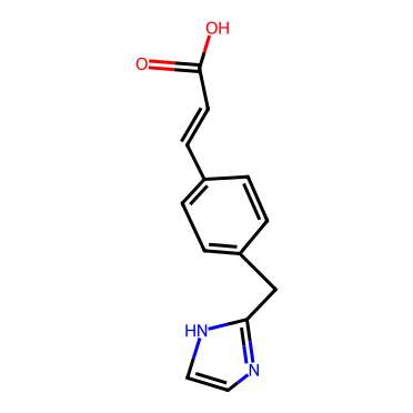 O=C(O)/C=C/c1ccc(Cc2ncc[nH]2)cc1